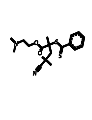 CN(C)CCOC(=O)C(C)(CC(C)(C)C#N)SC(=S)c1ccccc1